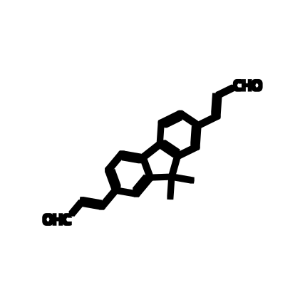 CC1(C)c2cc(/C=C/C=O)ccc2-c2ccc(/C=C/C=O)cc21